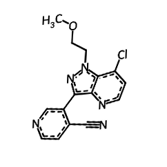 COCCn1nc(-c2cnccc2C#N)c2nccc(Cl)c21